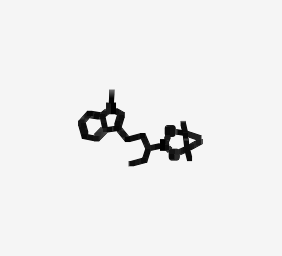 CCC(CCc1cn(C)c2ccccc12)B1OC(C)(C)C(C)(C)O1